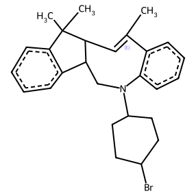 C/C1=C\C2C(CN(C3CCC(Br)CC3)c3ccccc31)c1ccccc1C2(C)C